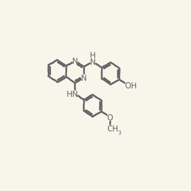 COc1ccc(Nc2nc(Nc3ccc(O)cc3)nc3ccccc23)cc1